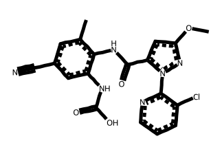 COc1cc(C(=O)Nc2c(C)cc(C#N)cc2NC(=O)O)n(-c2ncccc2Cl)n1